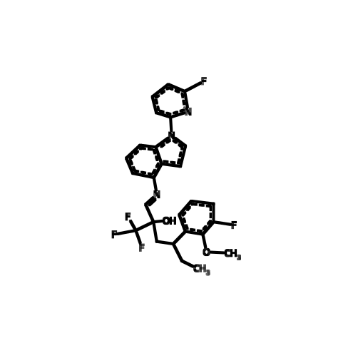 CCC(CC(O)(/C=N/c1cccc2c1ccn2-c1cccc(F)n1)C(F)(F)F)c1cccc(F)c1OC